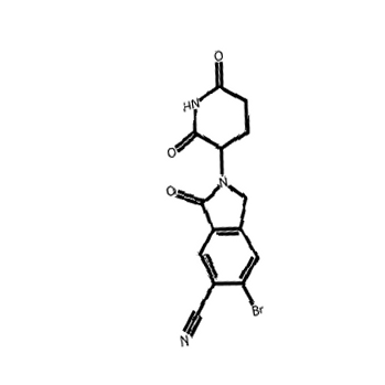 N#Cc1cc2c(cc1Br)CN(C1CCC(=O)NC1=O)C2=O